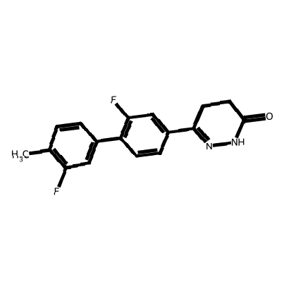 Cc1ccc(-c2ccc(C3=NNC(=O)CC3)cc2F)cc1F